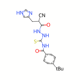 CC(C)(C)c1ccc(C(=O)NC(=S)NNC(=O)C(C#N)Cc2c[nH]cn2)cc1